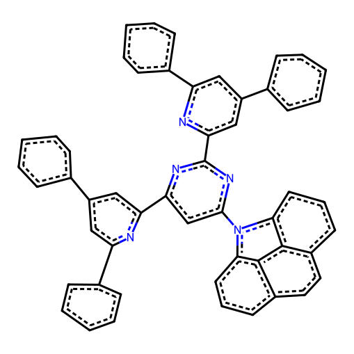 c1ccc(-c2cc(-c3ccccc3)nc(-c3cc(-n4c5cccc6ccc7cccc4c7c65)nc(-c4cc(-c5ccccc5)cc(-c5ccccc5)n4)n3)c2)cc1